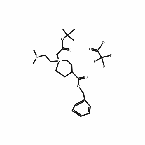 CN(C)CC[N+]1(CC(=O)OC(C)(C)C)CCC(C(=O)OCc2ccccc2)CC1.O=C([O-])C(F)(F)F